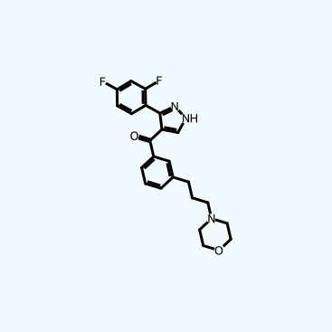 O=C(c1cccc(CCCN2CCOCC2)c1)c1c[nH]nc1-c1ccc(F)cc1F